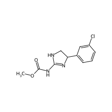 COC(=O)NC1=NC(c2cccc(Cl)c2)CN1